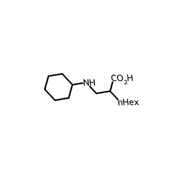 CCCCCCC(CNC1CCCCC1)C(=O)O